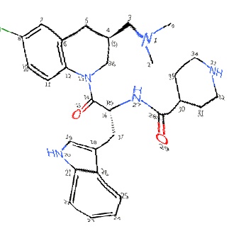 CN(C)C[C@@H]1Cc2cc(Cl)ccc2N(C(=O)[C@@H](Cc2c[nH]c3ccccc23)NC(=O)C2CCNCC2)C1